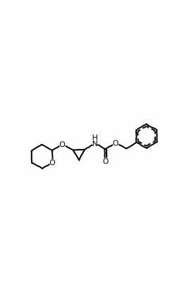 O=C(NC1CC1OC1CCCCO1)OCc1ccccc1